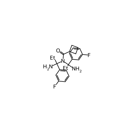 CCC(N)(c1cccc(F)c1)N(C(=O)C1CCC1)C(N)(CC)c1cccc(F)c1